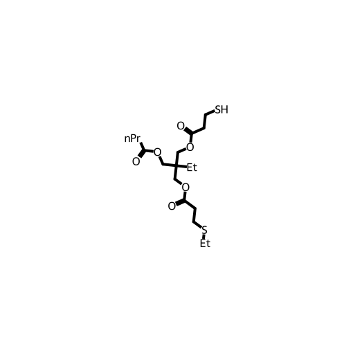 CCCC(=O)OCC(CC)(COC(=O)CCS)COC(=O)CCSCC